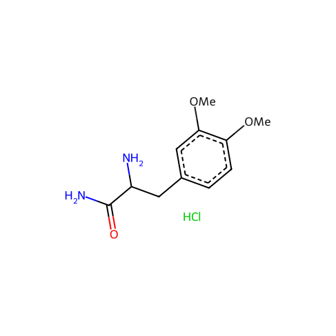 COc1ccc(CC(N)C(N)=O)cc1OC.Cl